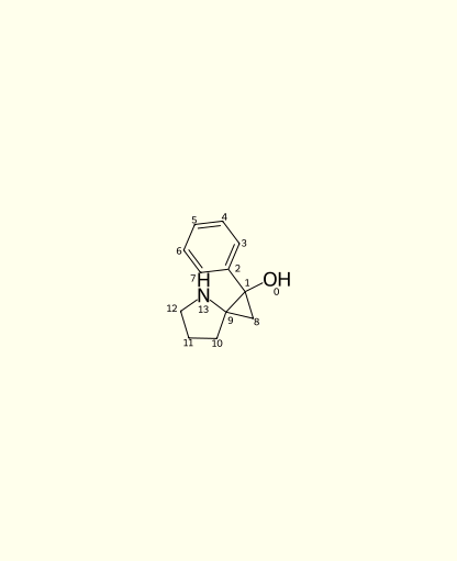 OC1(c2ccccc2)CC12CCCN2